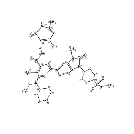 CCN(c1cc(-c2ccc3c(c2)n(C)c(=O)n3C2CCN(S(=O)(=O)CC)CC2)cc(C(=O)NCc2c(C)cc(C)[nH]c2=O)c1C)C1CCOCC1